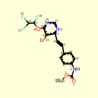 CC(C)(C)OC(=O)Nc1ccc(C#Cc2ncnc(OC(F)C(F)F)c2Br)cc1